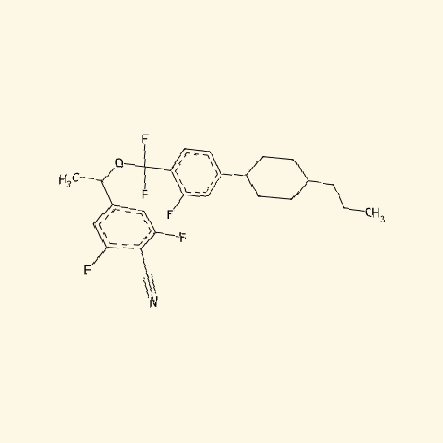 CCCC1CCC(c2ccc(C(F)(F)OC(C)c3cc(F)c(C#N)c(F)c3)c(F)c2)CC1